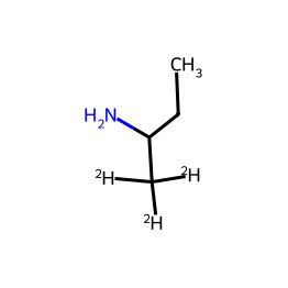 [2H]C([2H])([2H])C(N)CC